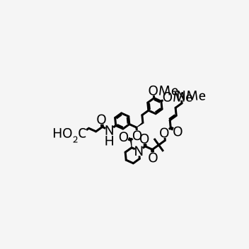 CNCC/C=C/C(=O)OCC(C)(C)C(=O)C(=O)N1CCCC[C@H]1C(=O)O[C@H](CCc1ccc(OC)c(OC)c1)c1cccc(NC(=O)CCC(=O)O)c1